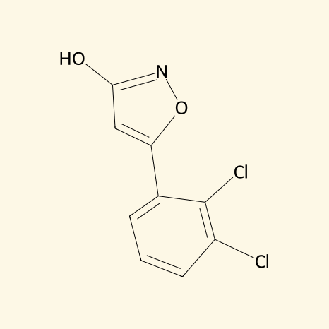 Oc1cc(-c2cccc(Cl)c2Cl)on1